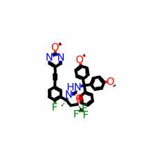 COc1ccc(C(NC2=N[C@](C)(c3cc(C#Cc4cnc(OC)nc4)ccc3F)C[C@@H](C(F)(F)F)O2)(c2ccccc2)c2ccc(OC)cc2)cc1